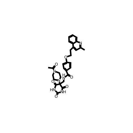 CC(=O)N1CCN(C2(CNC(=O)c3ccc(OCCc4cc(C)nc5ccccc45)cc3)C(=O)NC(=O)NC2=O)CC1